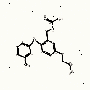 Cc1cccc(Oc2ccc([CH]CNC(C)(C)C)cc2COC(=O)C(C)(C)C)c1